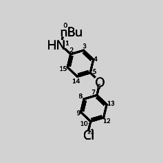 CCCCNc1ccc(Oc2ccc(Cl)cc2)cc1